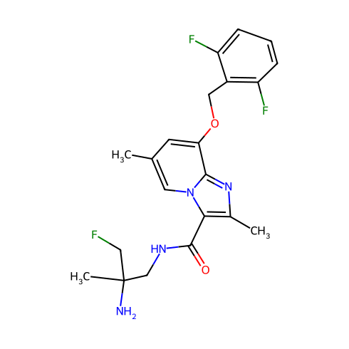 Cc1cc(OCc2c(F)cccc2F)c2nc(C)c(C(=O)NCC(C)(N)CF)n2c1